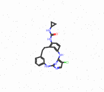 O=C(Nc1ccc2cc1CCc1cccc(c1)Nc1ncc(Cl)c(n1)N2)NC1CC1